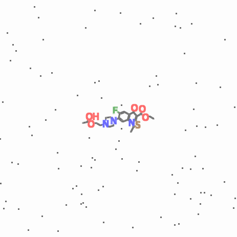 CCOC(=O)c1c2n(c3cc(N4CCN(CCOC(C)O)CC4)c(F)cc3c1=O)C(C)S2